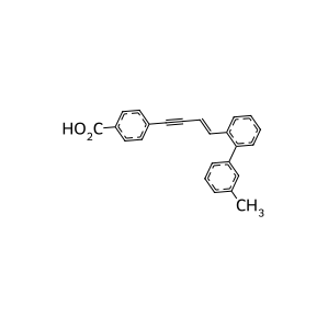 Cc1cccc(-c2ccccc2C=CC#Cc2ccc(C(=O)O)cc2)c1